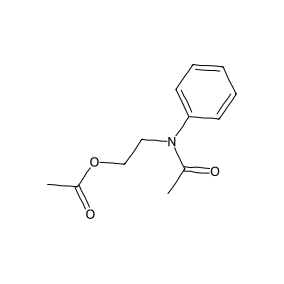 CC(=O)OCCN(C(C)=O)c1ccccc1